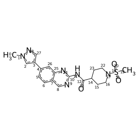 Cn1cc(-c2ccc3cnc(NC(=O)C4CCN(S(C)(=O)=O)CC4)nc3c2)cn1